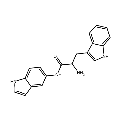 NC(Cc1c[nH]c2ccccc12)C(=O)Nc1ccc2[nH]ccc2c1